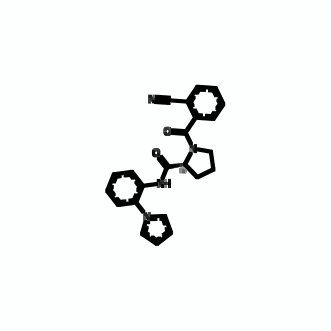 N#Cc1ccccc1C(=O)N1CCC[C@H]1C(=O)Nc1ccccc1-n1cccc1